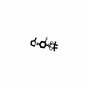 CC1CCCN1c1ccc(B2OC(C)(C)C(C)(C)O2)c(F)c1